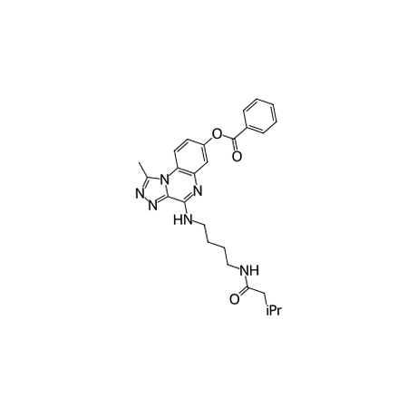 Cc1nnc2c(NCCCCNC(=O)CC(C)C)nc3cc(OC(=O)c4ccccc4)ccc3n12